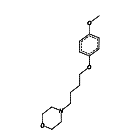 COc1ccc(OCCCCN2CCOCC2)cc1